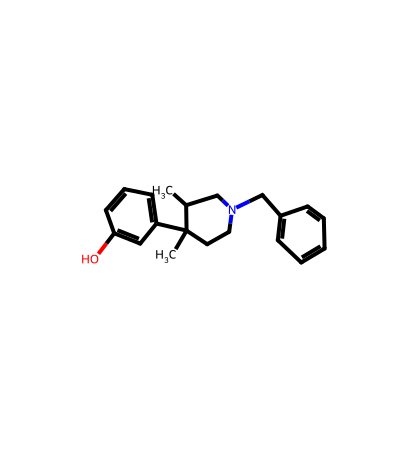 CC1CN(Cc2ccccc2)CCC1(C)c1cccc(O)c1